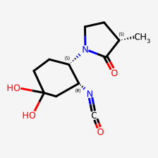 C[C@H]1CCN([C@H]2CCC(O)(O)C[C@H]2N=C=O)C1=O